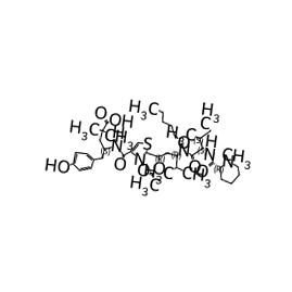 CCCCCON(C(=O)[C@@H](NC(=O)[C@H]1CCCCN1C)[C@@H](C)CC)[C@H](C[C@@H](OC(C)=O)c1nc(C(=O)N[C@@H](Cc2ccc(O)cc2)CC(C)(C)C(=O)O)cs1)C(C)C